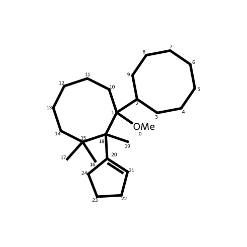 COC1(C2CCCCCCC2)CCCCCC(C)(C)C1(C)C1=CCCC1